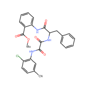 CC(C)(C)OC(=O)c1ccccc1NC(=O)C(Cc1ccccc1)NC(=O)C(=O)Nc1cc(C#N)ccc1Cl